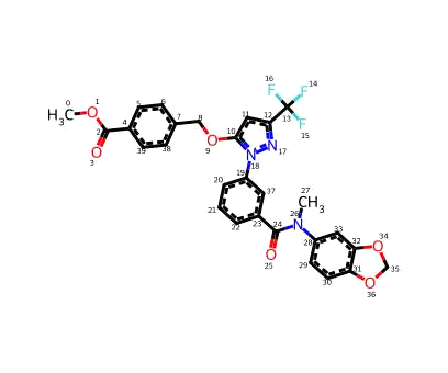 COC(=O)c1ccc(COc2cc(C(F)(F)F)nn2-c2cccc(C(=O)N(C)c3ccc4c(c3)OCO4)c2)cc1